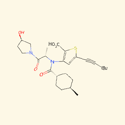 C[C@@H](C(=O)N1CC[C@@H](O)C1)N(c1cc(C#CC(C)(C)C)sc1C(=O)O)C(=O)[C@H]1CC[C@H](C)CC1